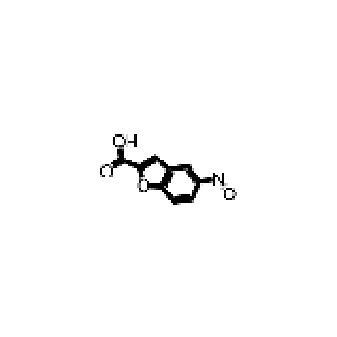 O=Nc1ccc2oc(C(=O)O)cc2c1